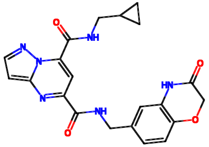 O=C1COc2ccc(CNC(=O)c3cc(C(=O)NCC4CC4)n4nccc4n3)cc2N1